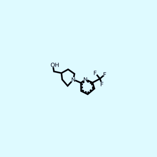 OCC1CCN(c2cccc(C(F)(F)F)n2)CC1